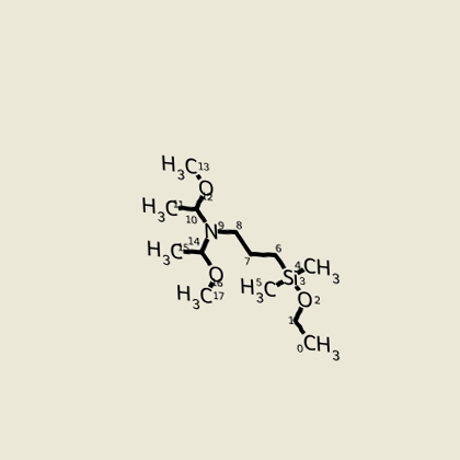 CCO[Si](C)(C)CCCN(C(C)OC)C(C)OC